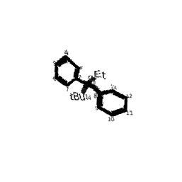 [CH2]CC(c1ccccc1)(c1ccccc1)C(C)(C)C